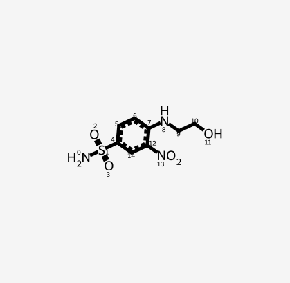 NS(=O)(=O)c1ccc(NCCO)c([N+](=O)[O-])c1